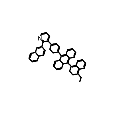 CCC1=c2ccccc2=C(C2=c3ccccc3=C(C3=CC=C(c4cccnc4C4=CC5C=CC=CC5C=C4)CC3)C3C=CC=CC23)CC1